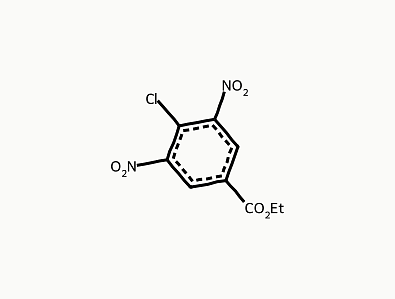 CCOC(=O)c1cc([N+](=O)[O-])c(Cl)c([N+](=O)[O-])c1